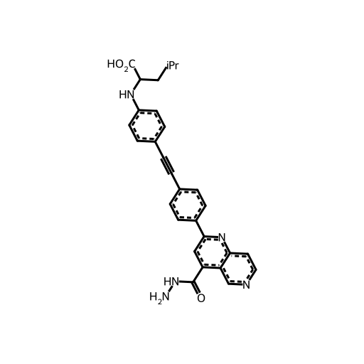 CC(C)CC(Nc1ccc(C#Cc2ccc(-c3cc(C(=O)NN)c4cnccc4n3)cc2)cc1)C(=O)O